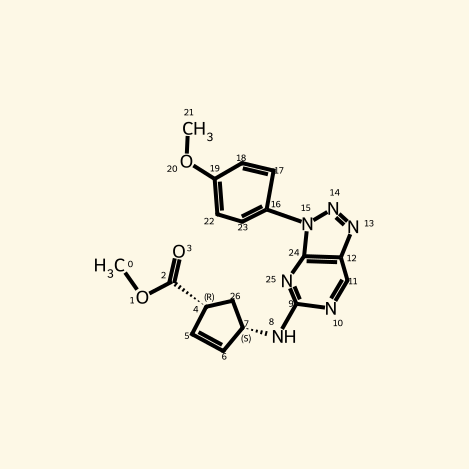 COC(=O)[C@H]1C=C[C@@H](Nc2ncc3nnn(-c4ccc(OC)cc4)c3n2)C1